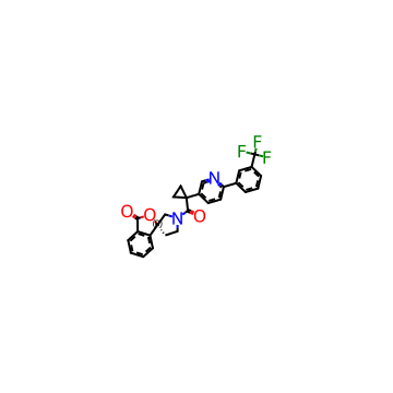 O=C1O[C@]2(CCN(C(=O)C3(c4ccc(-c5cccc(C(F)(F)F)c5)nc4)CC3)C2)c2ccccc21